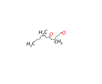 CCCCC(C)CC(=O)CC(C)CCC=O